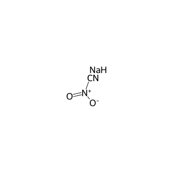 N#C[N+](=O)[O-].[NaH]